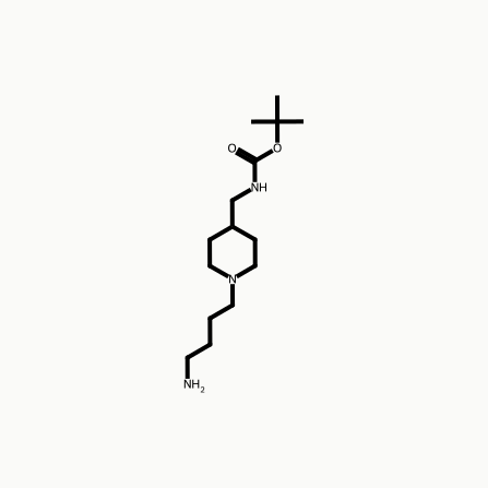 CC(C)(C)OC(=O)NCC1CCN(CCCCN)CC1